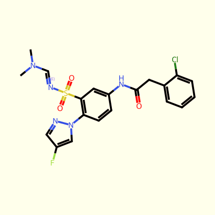 CN(C)/C=N/S(=O)(=O)c1cc(NC(=O)Cc2ccccc2Cl)ccc1-n1cc(F)cn1